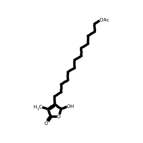 CC(=O)OCCCCCCCCCCCCCC1=C(C)C(=O)OC1O